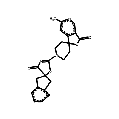 Cc1cc2c(cn1)C(=O)OC21CCN(C2=NC(=O)C3(Cc4ccccc4C3)O2)CC1